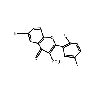 O=C(O)c1c(-c2cc(F)ccc2F)oc2ccc(Br)cc2c1=O